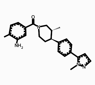 Cc1ccc(C(=O)N2CC[C@H](c3ccc(-c4ccnn4C)cc3)[C@@H](C)C2)cc1N